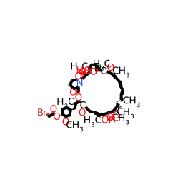 COC1C(=O)[C@H](C)CC(C)/C=C/C=C/C=C(\C)[C@@H](OC)C[C@@H]2CC[C@@H](C)[C@@](O)(O2)C(=O)C(=O)N2CCCCC2C(=O)O[C@H]([C@@H](C)C[C@@H]2CC[C@@H](OC(=O)CBr)[C@H](OC)C2)CC(=O)C/C=C(\C)[C@H]1O